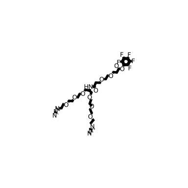 [N-]=[N+]=NCCOCCOCCOCC(COCCOCCOCCN=[N+]=[N-])NC(=O)CCOCCOCCC(=O)Oc1c(F)c(F)c(F)c(F)c1F